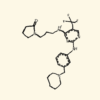 O=C1CCCN1CCCNc1nc(Nc2cccc(CN3CCCCC3)c2)ncc1C(F)(F)F